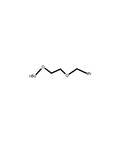 CCCCO[CH]COCC(C)C